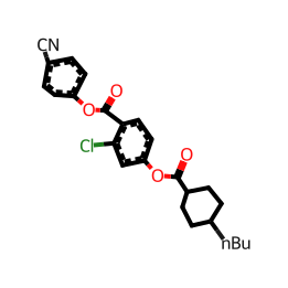 CCCCC1CCC(C(=O)Oc2ccc(C(=O)Oc3ccc(C#N)cc3)c(Cl)c2)CC1